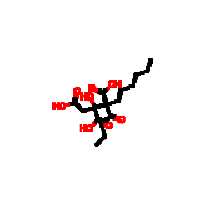 CCCCCCC(C(=O)O)(C(=O)CCC)C(O)(CC(=O)O)C(=O)O